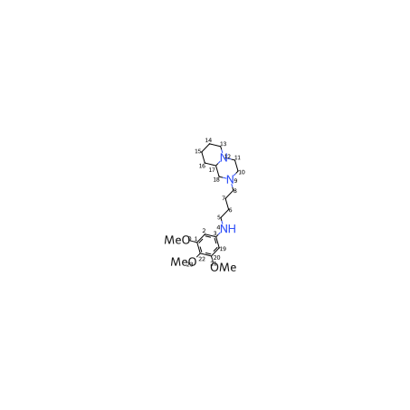 COc1cc(NCCCCN2CCN3CCCCC3C2)cc(OC)c1OC